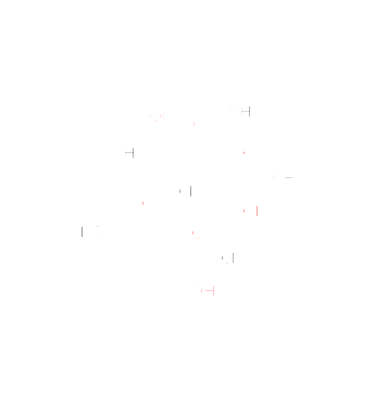 CC(O)COC(C)COC(C)CO.CCCOC(C)COC(C)CO